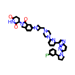 O=C1CCC(N2Cc3ccc(N4CC(CN5CCN(c6cccc(-c7cnc8ccc(N9CCCC9c9cccc(F)c9)nn78)n6)CC5)C4)cc3C2=O)C(=O)N1